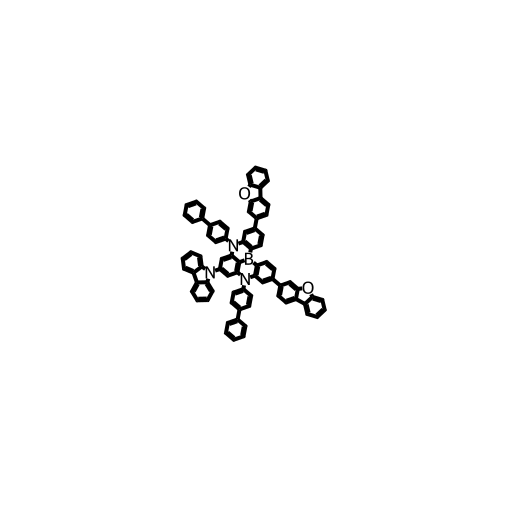 c1ccc(-c2ccc(N3c4cc(-c5ccc6c(c5)oc5ccccc56)ccc4B4c5ccc(-c6ccc7c(c6)oc6ccccc67)cc5N(c5ccc(-c6ccccc6)cc5)c5cc(-n6c7ccccc7c7ccccc76)cc3c54)cc2)cc1